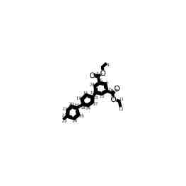 CCOC(=O)c1cc(C(=O)OCC)cc(-c2ccc(-c3ccc(C)cc3)cc2)c1